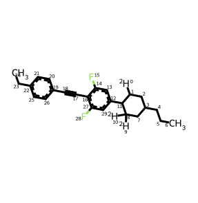 [2H]C1CC(CCC)CC([2H])([2H])C1c1cc(F)c(C#Cc2ccc(CC)cc2)c(F)c1